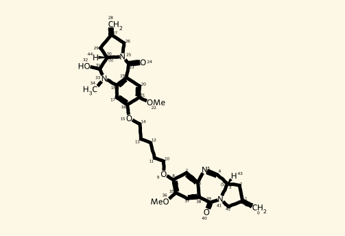 C=C1C[C@H]2C=Nc3cc(OCCCCCOc4cc5c(cc4OC)C(=O)N4CC(=C)C[C@H]4C(O)N5C)c(OC)cc3C(=O)N2C1